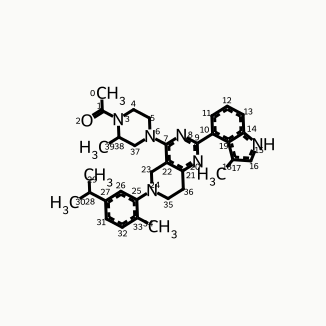 CC(=O)N1CCN(c2nc(-c3cccc4[nH]cc(C)c34)nc3c2CN(c2cc(C(C)C)ccc2C)CC3)CC1C